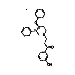 O=C(CCN1CC[C@H](Oc2ccccc2)[C@@H](c2ccccc2)C1)c1cccc(O)c1